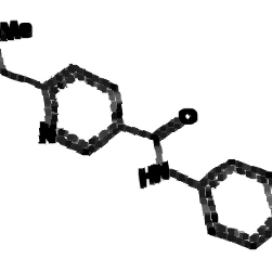 COCc1ccc(C(=O)Nc2ccccc2)cn1